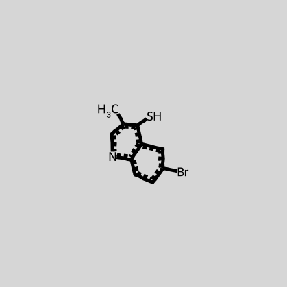 Cc1cnc2ccc(Br)cc2c1S